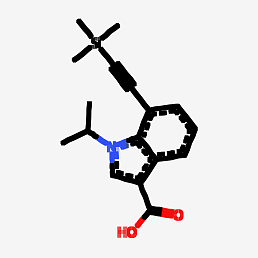 CC(C)n1cc(C(=O)O)c2cccc(C#C[Si](C)(C)C)c21